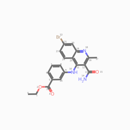 CCOC(=O)c1cccc(Nc2c(C(N)=O)c(C)nc3cc(Br)ccc23)c1